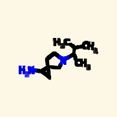 CC(C)C(C)N1CCC2(CC2N)C1